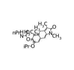 CCCNC(=O)O[C@H]1[C@H](OC(C)C)C=C2C=C3C(=C(C)C(=O)N3C)C[C@]2(C)[C@H]1C